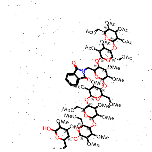 COCC1O[C@@H](O[C@H]2C(OC)C(OC)[C@@H](O[C@H]3C(OC)C(OC)[C@H](O[C@@H]4C(COC(C)=O)OC(O)C(OC)[C@H]4OC)O[C@H]3COC)O[C@H]2COC)C(OC)[C@@H](OC)[C@@H]1O[C@H]1OC(CN2C(=O)c3ccccc3C2=O)[C@@H](O[C@@H]2O[C@@H](COC(C)=O)[C@@H](O[C@H]3O[C@@H](COC(C)=O)[C@@H](OC(C)=O)C(OC(C)=O)C3OC(C)=O)C(OC(C)=O)C2OC(C)=O)[C@H](OC)C1OC